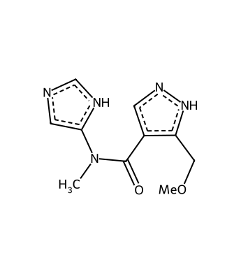 COCc1[nH]ncc1C(=O)N(C)c1cnc[nH]1